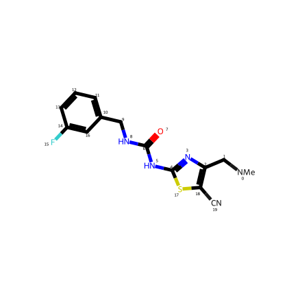 CNCc1nc(NC(=O)NCc2cccc(F)c2)sc1C#N